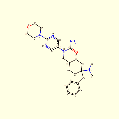 CN(C)C1(Cc2ccccc2)CCC(CN(C(N)=O)c2cnc(N3CCOCC3)nc2)CC1